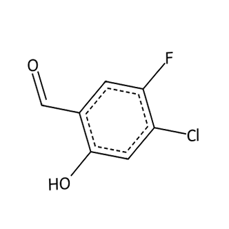 O=Cc1cc(F)c(Cl)cc1O